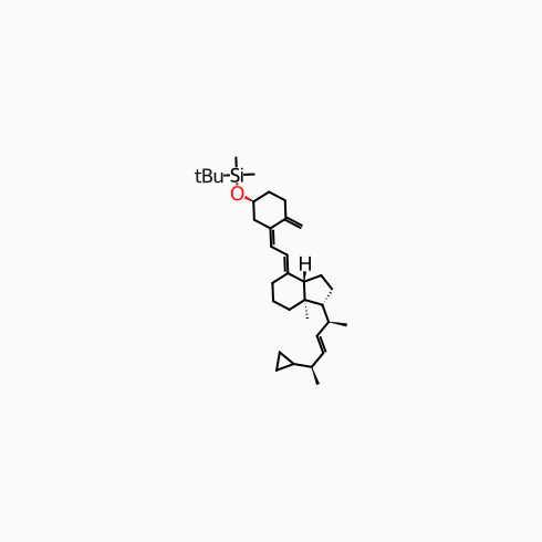 C=C1CC[C@H](O[Si](C)(C)C(C)(C)C)C/C1=C/C=C1\CCC[C@]2(C)[C@@H]([C@@H](C)/C=C/[C@@H](C)C3CC3)CC[C@@H]12